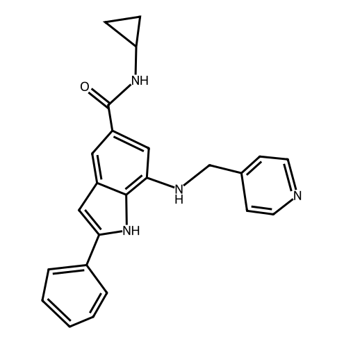 O=C(NC1CC1)c1cc(NCc2ccncc2)c2[nH]c(-c3ccccc3)cc2c1